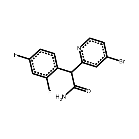 NC(=O)C(c1cc(Br)ccn1)c1ccc(F)cc1F